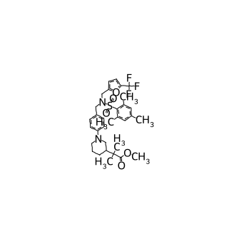 COC(=O)C(C)(C)C1CCCN(c2ccc(CN(Cc3ccc(C(F)(F)F)o3)S(=O)(=O)c3c(C)cc(C)cc3C)cc2)C1